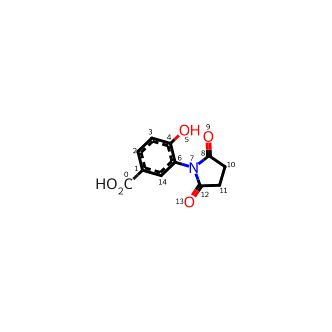 O=C(O)c1ccc(O)c(N2C(=O)CCC2=O)c1